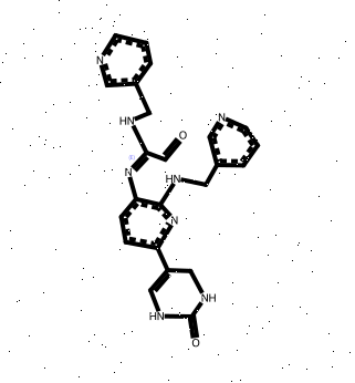 O=C/C(=N\c1ccc(C2=CNC(=O)NC2)nc1NCc1cccnc1)NCc1cccnc1